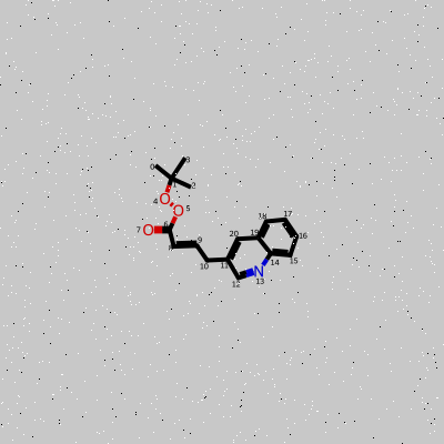 CC(C)(C)OOC(=O)C=CCc1cnc2ccccc2c1